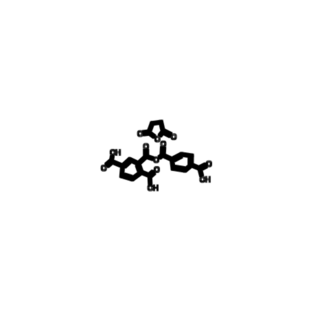 O=C(O)c1ccc(C(=O)OC(=O)c2cc(C(=O)O)ccc2C(=O)O)cc1.O=C1CCC(=O)O1